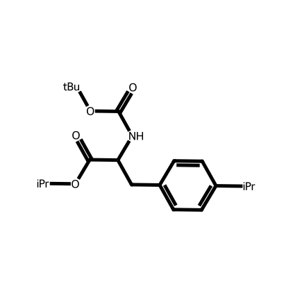 CC(C)OC(=O)C(Cc1ccc(C(C)C)cc1)NC(=O)OC(C)(C)C